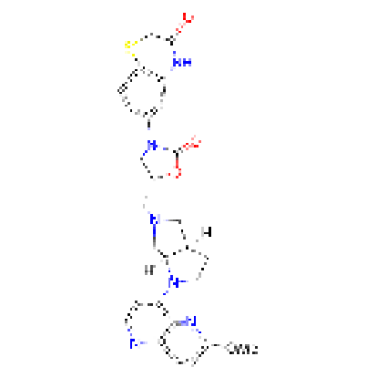 COc1ccc2nccc(N3CC[C@@H]4CN(C[C@@H]5CN(c6ccc7c(c6)NC(=O)CS7)C(=O)O5)C[C@@H]43)c2n1